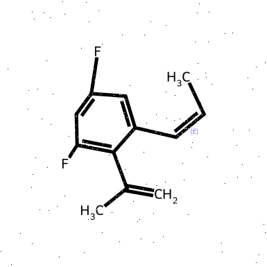 C=C(C)c1c(F)cc(F)cc1/C=C\C